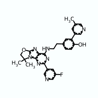 Cc1cncc(-c2cc(CCNc3nc(-c4cncc(F)c4)nc4c3nc3n4C(C)(C)CO3)ccc2O)c1